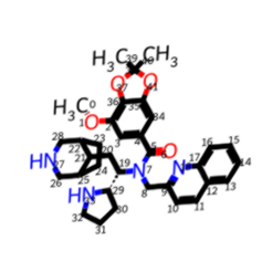 COc1cc(C(=O)N(Cc2ccc3ccccc3n2)C(CC2C3CCC2CNC3)[C@@H]2CCCN2)cc2c1OC(C)(C)O2